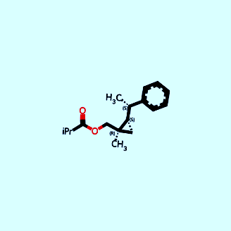 CC(C)C(=O)OC[C@]1(C)C[C@H]1[C@H](C)c1ccccc1